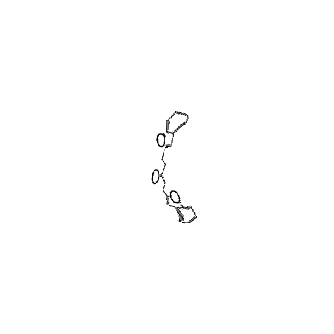 O=C(CCc1cc2ccccc2o1)CCc1cc2ccccc2o1